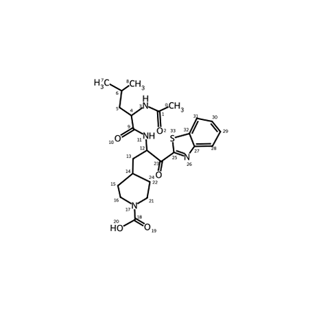 CC(=O)NC(CC(C)C)C(=O)NC(CC1CCN(C(=O)O)CC1)C(=O)c1nc2ccccc2s1